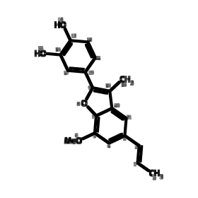 CC=Cc1cc(OC)c2oc(-c3ccc(O)c(O)c3)c(C)c2c1